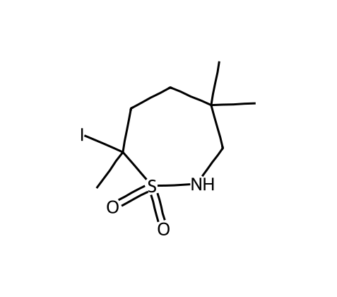 CC1(C)CCC(C)(I)S(=O)(=O)NC1